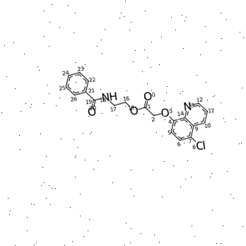 O=C(COc1ccc(Cl)c2cccnc12)OCCNC(=O)c1ccccc1